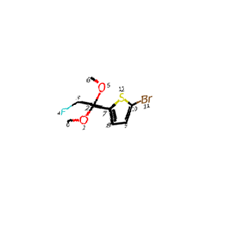 COC(CF)(OC)c1ccc(Br)s1